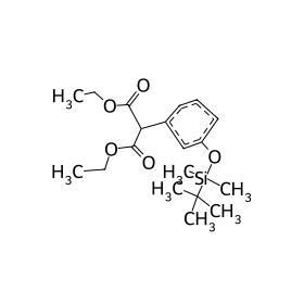 CCOC(=O)C(C(=O)OCC)c1cccc(O[Si](C)(C)C(C)(C)C)c1